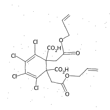 C=CCOC(=O)CC1(C(=O)O)C(Cl)=C(Cl)C(Cl)=C(Cl)C1(CC(=O)OCC=C)C(=O)O